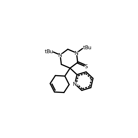 CC(C)(C)N1CN(C(C)(C)C)C(=S)C(c2ccccn2)(C2CC=CCC2)C1